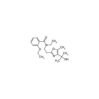 CCOc1ccccc1C(=O)N(CC)CCc1nc(C(C)(C)O)c(C)o1